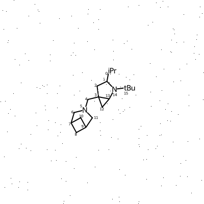 CC(C)C1CC2(CN3CC4CC(C4)C3)CC2N1C(C)(C)C